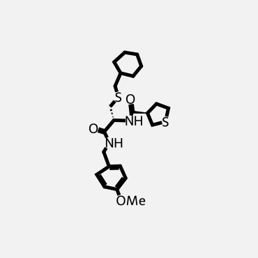 COc1ccc(CNC(=O)[C@H](CSCC2CCCCC2)NC(=O)[C@H]2CCSC2)cc1